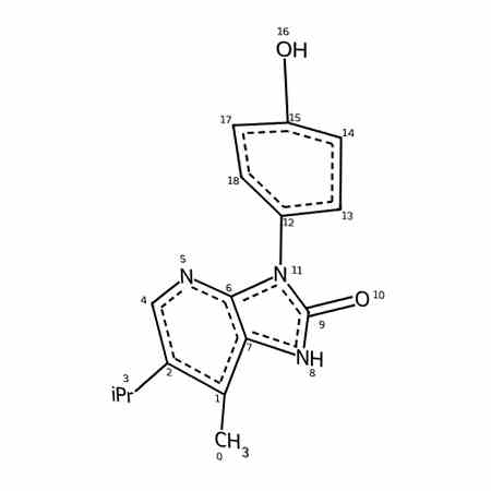 Cc1c(C(C)C)cnc2c1[nH]c(=O)n2-c1ccc(O)cc1